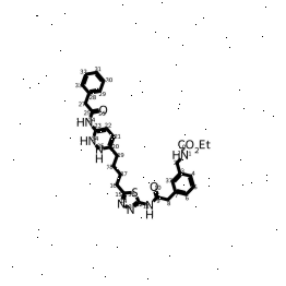 CCOC(=O)NCc1cccc(CC(=O)Nc2nnc(CCCCC3=CC=C(NC(=O)Cc4ccccc4)NN3)s2)c1